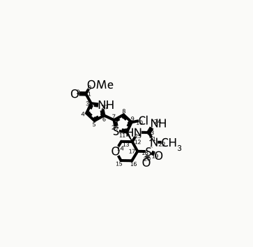 COC(=O)c1ccc(-c2cc(Cl)c([C@]34COCCC3S(=O)(=O)N(C)C(=N)N4)s2)[nH]1